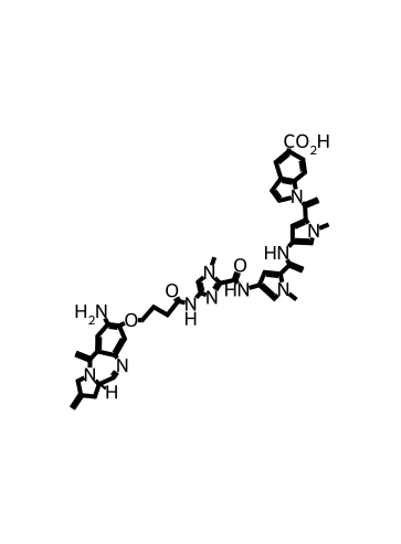 C=C1C[C@H]2C=Nc3cc(OCCCC(=O)Nc4cn(C)c(C(=O)Nc5cc(C(=C)Nc6cc(C(=C)n7ccc8cc(C(=O)O)ccc87)n(C)c6)n(C)c5)n4)c(N)cc3C(=C)N2C1